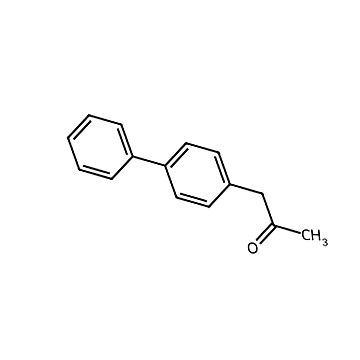 CC(=O)Cc1ccc(-c2ccccc2)cc1